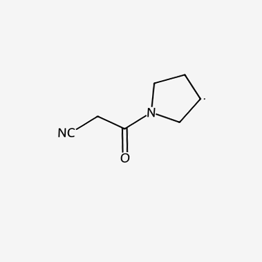 N#CCC(=O)N1C[CH]CC1